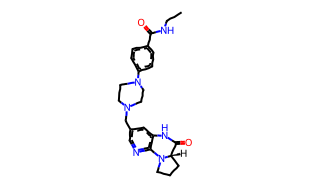 CCNC(=O)c1ccc(N2CCN(Cc3cnc4c(c3)NC(=O)[C@@H]3CCCN43)CC2)cc1